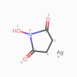 O=C1CCC(=O)N1O.[Ag]